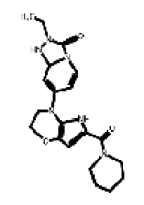 CCN1NC2C=C(N3CCOc4cc(C(=O)N5CCCCC5)[nH]c43)C=CN2C1=O